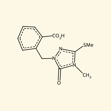 CSc1nn(Cc2ccccc2C(=O)O)c(=O)n1C